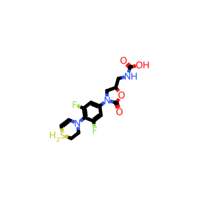 O=C(O)NCC1CN(c2cc(F)c(N3C=C[SH2]CC3)c(F)c2)C(=O)O1